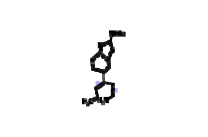 C=C/C=C(\C=C/N)c1ccc2nc(NC(C)=O)sc2c1